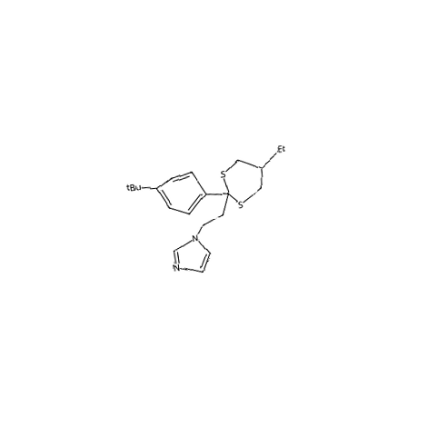 CCC1CSC(CCn2ccnc2)(c2ccc(C(C)(C)C)cc2)SC1